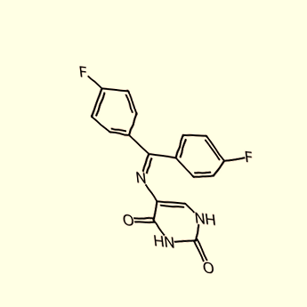 O=c1[nH]cc(N=C(c2ccc(F)cc2)c2ccc(F)cc2)c(=O)[nH]1